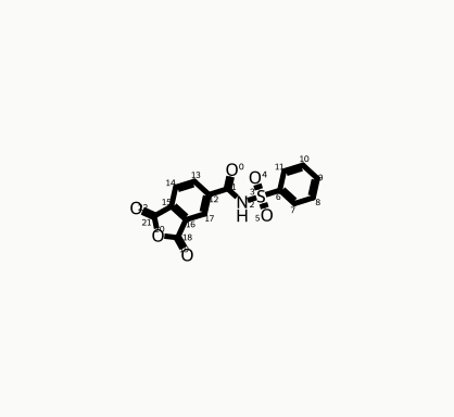 O=C(NS(=O)(=O)c1ccccc1)c1ccc2c(c1)C(=O)OC2=O